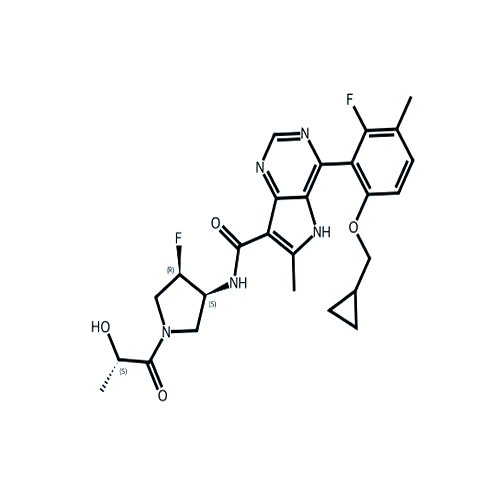 Cc1ccc(OCC2CC2)c(-c2ncnc3c(C(=O)N[C@H]4CN(C(=O)[C@H](C)O)C[C@H]4F)c(C)[nH]c23)c1F